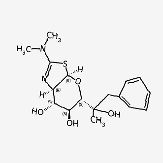 CN(C)C1=N[C@@H]2[C@@H](O)[C@H](O)[C@@H](C(C)(O)Cc3ccccc3)O[C@@H]2S1